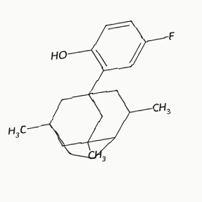 CC1CC2(c3cc(F)ccc3O)CC3(C)CCC1C(C)(C3)C2